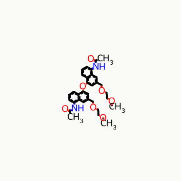 COCCOCc1cc(Oc2cc(COCCOC)cc3c(NC(C)=O)cccc23)c2cccc(NC(C)=O)c2c1